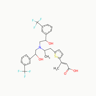 C/C(=C\C(=O)O)c1ccc(CC(C)N(CC(O)c2cccc(C(F)(F)F)c2)CC(O)c2cccc(C(F)(F)F)c2)s1